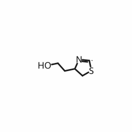 OCCC1CS[C]=N1